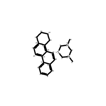 CN1CSCN(C)C1.c1ccc2c(c1)ccc1c3c(ccc12)CCCC3